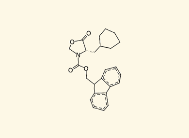 O=C1OCN(C(=O)OCC2c3ccccc3-c3ccccc32)[C@H]1CC1CCCCC1